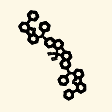 CC(C)(C)C1(C(C)(C)C)c2c(ccc3cc(N(c4ccccc4)c4cccc5c4oc4c(-c6ccccc6)cccc45)ccc23)-c2ccc3cc(N(c4ccccc4)c4cccc5c4oc4c(-c6ccccc6)cccc45)ccc3c21